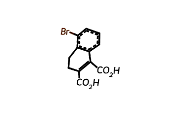 O=C(O)C1=C(C(=O)O)c2cccc(Br)c2CC1